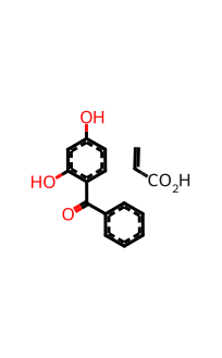 C=CC(=O)O.O=C(c1ccccc1)c1ccc(O)cc1O